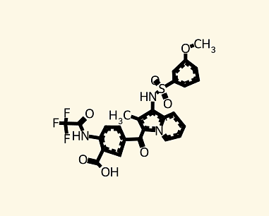 COc1cccc(S(=O)(=O)Nc2c(C)c(C(=O)c3ccc(NC(=O)C(F)(F)F)c(C(=O)O)c3)n3ccccc23)c1